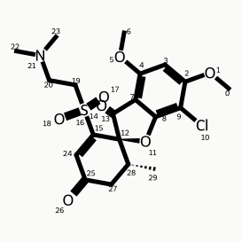 COc1cc(OC)c2c(c1Cl)O[C@]1(C2=O)C(S(=O)(=O)CCN(C)C)=CC(=O)C[C@H]1C